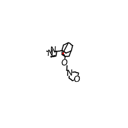 Cn1ccc(C23CC4CC(CC(OCCN5CCOCC5)(C4)C2)C3)n1